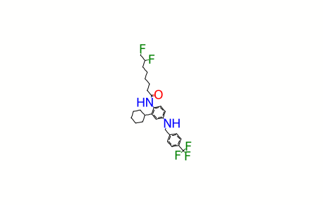 O=C(CCCCCC(F)CF)Nc1ccc(NCc2ccc(C(F)(F)F)cc2)cc1C1CCCCC1